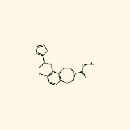 CC(Sc1c(Cl)ccc2c1CCN(C(=O)OC(C)(C)C)CC2)c1nccs1